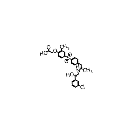 Cc1cc(S(=O)(=O)c2ccc(C[C@@H](C)NC[C@@H](O)c3cccc(Cl)c3)cc2)ccc1OCC(=O)O